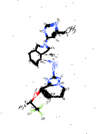 Cc1cc(N2CC3CCC[C@@H](Nc4nc5c(OC(C)C(F)(F)F)cccn5n4)[C@@H]3C2)ncn1